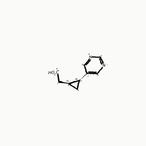 O=C(O)C[C@@H]1C[C@H]1c1cncnc1